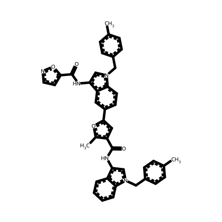 Cc1ccc(Cn2cc(NC(=O)c3ccno3)c3cc(-c4cc(C(=O)Nc5cn(Cc6ccc(C)cc6)c6ccccc56)c(C)o4)ccc32)cc1